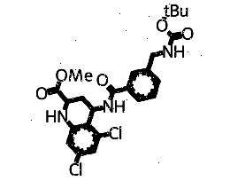 COC(=O)C1CC(NC(=O)c2cccc(CNC(=O)OC(C)(C)C)c2)c2c(Cl)cc(Cl)cc2N1